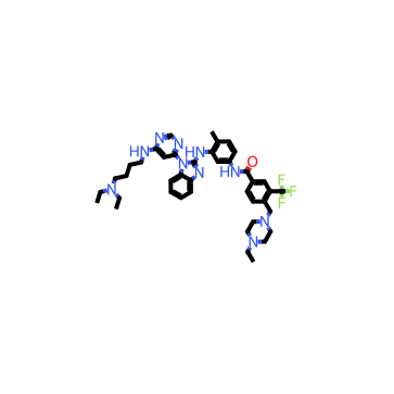 CCN(CC)CCCCNc1cc(-n2c(Nc3cc(NC(=O)c4ccc(CN5CCN(CC)CC5)c(C(F)(F)F)c4)ccc3C)nc3ccccc32)ncn1